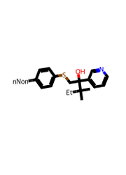 CCCCCCCCCc1ccc(SCC(O)(c2cccnc2)C(C)(C)CC)cc1